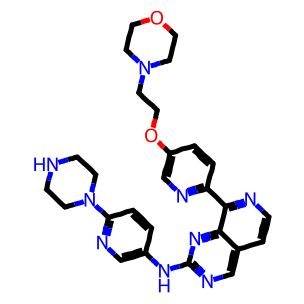 c1cc2cnc(Nc3ccc(N4CCNCC4)nc3)nc2c(-c2ccc(OCCN3CCOCC3)cn2)n1